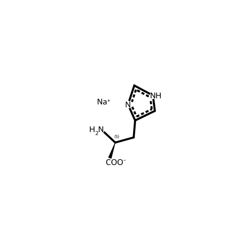 N[C@@H](Cc1c[nH]cn1)C(=O)[O-].[Na+]